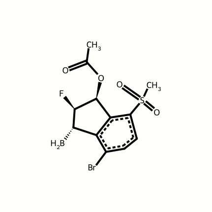 B[C@H]1c2c(Br)ccc(S(C)(=O)=O)c2[C@H](OC(C)=O)[C@@H]1F